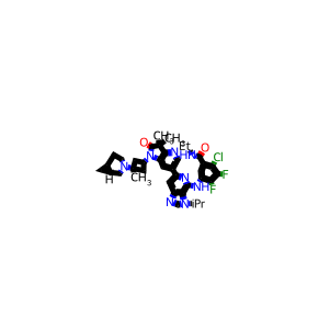 CCNC(=O)c1cc(Nc2nc(-c3cnc4c(c3)N(C3CC(C)(N5CCC6C[C@@H]6C5)C3)C(=O)C4(C)C)cc3ncn(C(C)C)c23)c(F)c(F)c1Cl